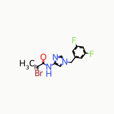 C[C@@H](Br)C(=O)Nc1cn(Cc2cc(F)cc(F)c2)cn1